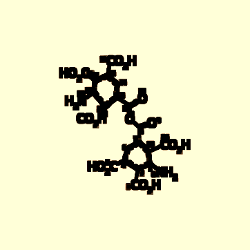 Nc1c(C(=O)O)c(C(=O)O)cc(C(=O)OC(=O)c2cc(C(=O)O)c(C(=O)O)c(N)c2C(=O)O)c1C(=O)O